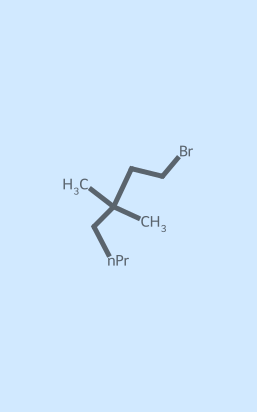 CCCCC(C)(C)CCBr